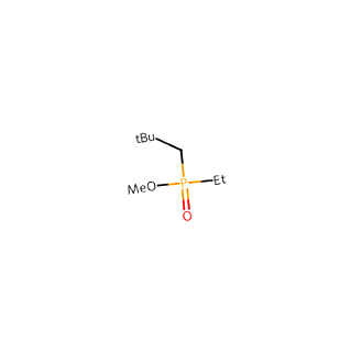 CCP(=O)(CC(C)(C)C)OC